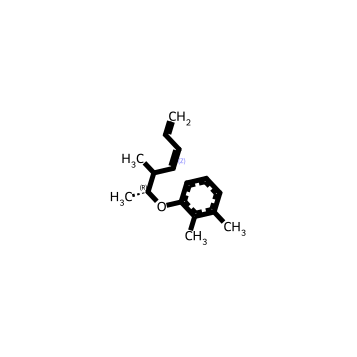 C=C/C=C\C(C)[C@@H](C)Oc1cccc(C)c1C